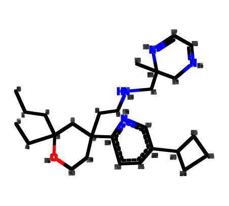 CCCC1(CC)CC(CCNCC2(C)CN=CC=N2)(c2ccc(C3CCC3)cn2)CCO1